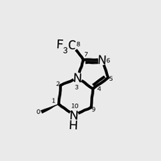 C[C@H]1Cn2c(cnc2C(F)(F)F)CN1